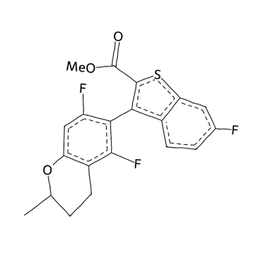 COC(=O)c1sc2cc(F)ccc2c1-c1c(F)cc2c(c1F)CCC(C)O2